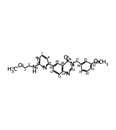 COCCNc1nccc(-c2ccc3ncn(Cc4cccc(OC)c4)c(=O)c3c2)n1